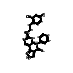 O=c1c2c[nH]nc2c2cnc(NCCc3ccc(Cl)cc3Cl)nc2n1-c1ccccc1